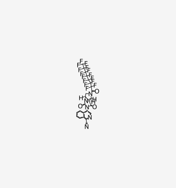 N#Cc1ncc(N2C(=O)[C@@H]3[C@@H]4C[C@@H](CN4C(=O)C(F)(F)C(F)(F)C(F)(F)C(F)(F)C(F)(F)C(F)(F)C(F)(F)F)N3C2=O)c2ccccc12